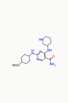 COC1CCC(Nc2ncc(C(N)=O)c(NC3CCCNC3)n2)CC1